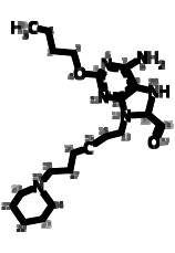 CCCCOc1nc(N)c2c(n1)N(CCCCCCN1CCCCC1)C(C=O)N2